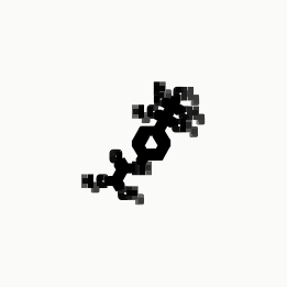 CC(C)C(=O)Bc1ccc(C(C)(C)C(C)(C)C)cc1